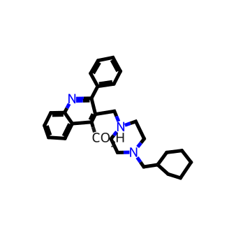 O=C(O)c1c(CN2CCN(CC3CCCCC3)CC2)c(-c2ccccc2)nc2ccccc12